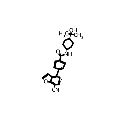 CC(C)(O)[C@H]1CC[C@H](NC(=O)c2ccc(-c3ncc(C#N)c4occc34)cc2)CC1